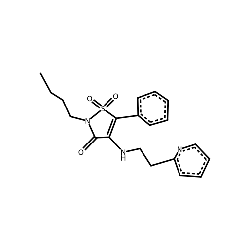 CCCCN1C(=O)C(NCCc2ccccn2)=C(c2ccccc2)S1(=O)=O